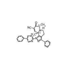 C[C@H]1C(=O)C(C#N)=C[C@@]2(C)c3c(c(-c4ccccc4)nn3-c3ccc(-c4ccccc4)cn3)CC[C@H]12